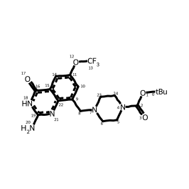 CC(C)(C)OC(=O)N1CCN(Cc2cc(OC(F)(F)F)cc3c(=O)[nH]c(N)nc23)CC1